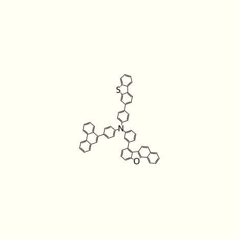 c1cc(-c2cccc3oc4c5ccccc5ccc4c23)cc(N(c2ccc(-c3ccc4c(c3)sc3ccccc34)cc2)c2ccc(-c3cc4ccccc4c4ccccc34)cc2)c1